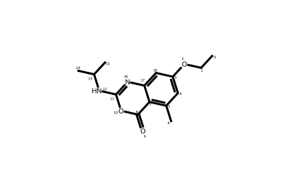 CCOc1cc(C)c2c(=O)oc(NC(C)C)nc2c1